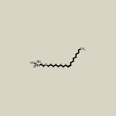 CCCCCCCC/C=C\CCCCCCCCOCCOP(=O)(O)O